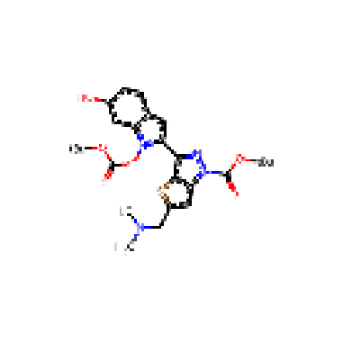 CN(C)Cc1cc2c(s1)c(-c1cc3ccc(O)cc3n1OC(=O)OC(C)(C)C)nn2C(=O)OC(C)(C)C